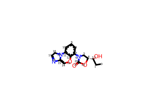 CCC(O)[C@H]1CN(c2cccc3c2OC=C2N=CCN23)C(=O)O1